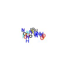 CN(C)Cc1cc(F)c(S(=O)(=O)Nc2cccc(-c3nc(C(C)(C)C)sc3-c3ccnc(NC4CCN(S(C)(=O)=O)CC4)n3)c2F)c(F)c1